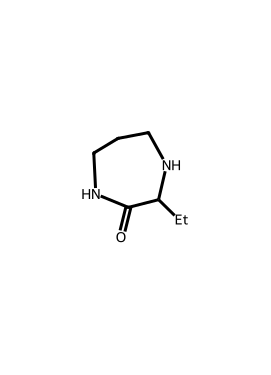 CCC1NCCCNC1=O